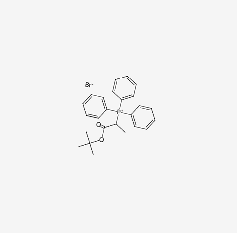 CC(C(=O)OC(C)(C)C)[P+](c1ccccc1)(c1ccccc1)c1ccccc1.[Br-]